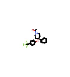 CC(=O)N1CCC(Oc2ccc(C(F)(F)F)cc2)(c2ccccc2)CC1